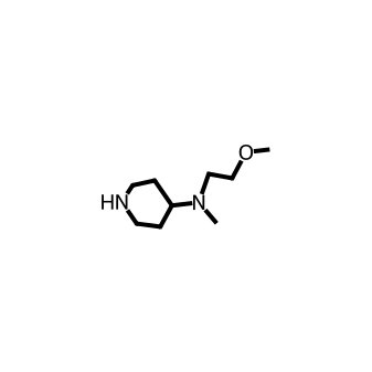 COCCN(C)C1CCNCC1